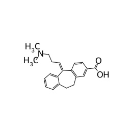 CN(C)CC/C=C1\c2ccccc2CCc2cc(C(=O)O)ccc21